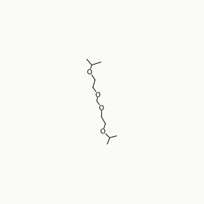 CC(C)OCCOCOCCOC(C)C